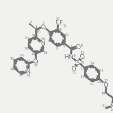 C[C@@H](Oc1ccc(C(=O)NS(=O)(=O)c2ccc(OCCN(C)C)cc2)cc1C(F)(F)F)c1ccc(Oc2ccccn2)cn1